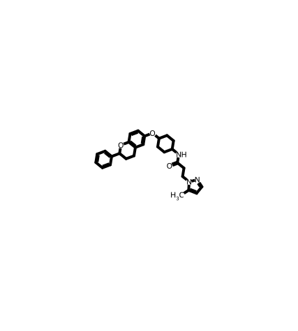 Cc1ccnn1CCC(=O)NC1CCC(Oc2ccc3c(c2)CCC(c2ccccc2)O3)CC1